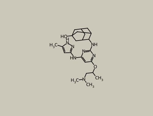 Cc1cc(Nc2cc(OC(C)CN(C)C)nc(NC3C4CC5CC3CC(O)(C5)C4)n2)n[nH]1